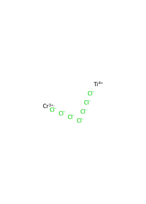 [Cl-].[Cl-].[Cl-].[Cl-].[Cl-].[Cl-].[Cl-].[Cr+3].[Ti+4]